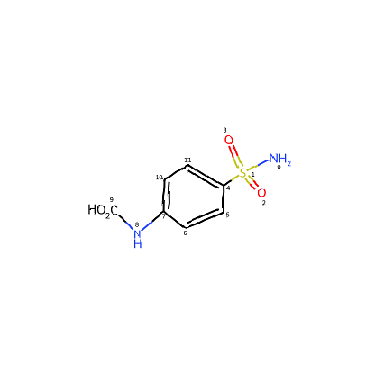 NS(=O)(=O)c1ccc(NC(=O)O)cc1